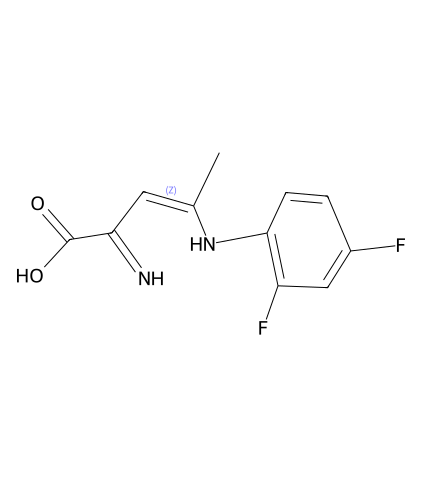 C/C(=C/C(=N)C(=O)O)Nc1ccc(F)cc1F